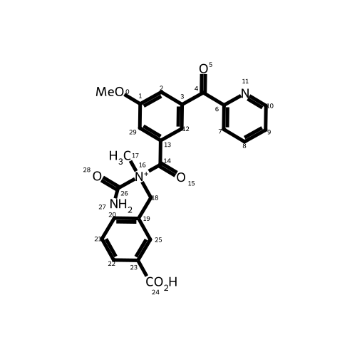 COc1cc(C(=O)c2ccccn2)cc(C(=O)[N+](C)(Cc2cccc(C(=O)O)c2)C(N)=O)c1